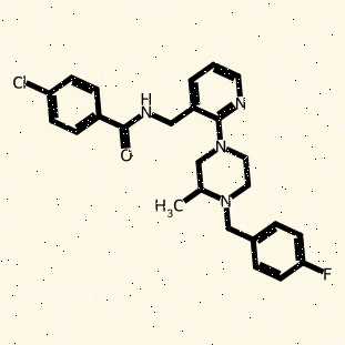 CC1CN(c2ncccc2CNC(=O)c2ccc(Cl)cc2)CCN1Cc1ccc(F)cc1